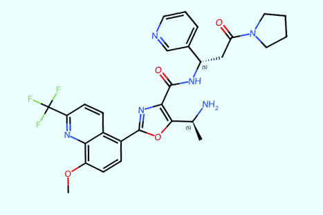 COc1ccc(-c2nc(C(=O)N[C@@H](CC(=O)N3CCCC3)c3cccnc3)c([C@H](C)N)o2)c2ccc(C(F)(F)F)nc12